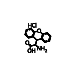 Cl.NC(C(=O)O)C1c2ccccc2Oc2ccccc21